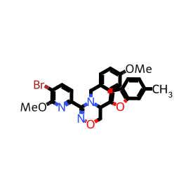 COc1ccc(CN2C(c3ccc(Br)c(OC)n3)=NOCC2c2cc3ccc(C)cc3o2)cc1